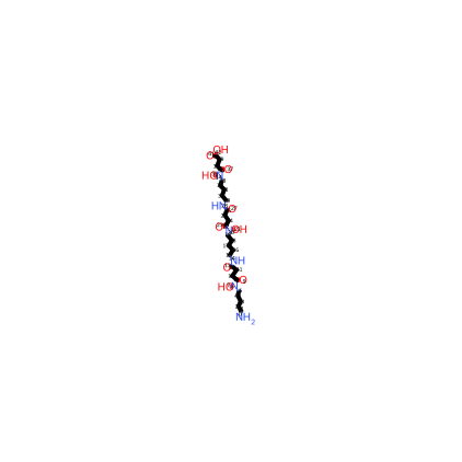 NCCCCCN(O)C(=O)CCC(=O)NCCCCCN(O)C(=O)CCC(=O)NCCCCCN(O)C(=O)CCC(=O)O